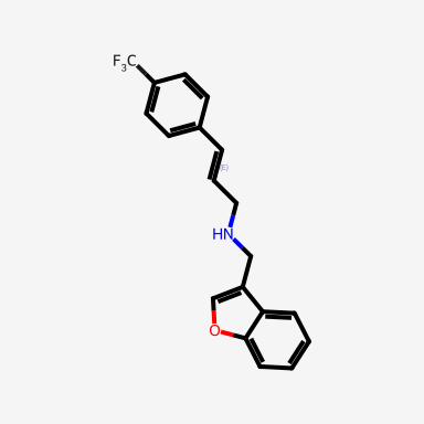 FC(F)(F)c1ccc(/C=C/CNCc2coc3ccccc23)cc1